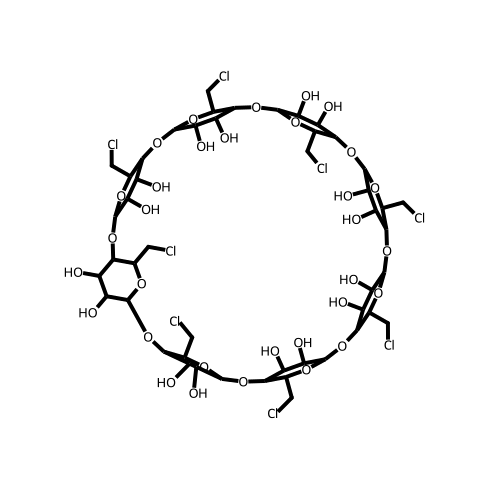 OC1C2OC(CCl)C(OC3OC(CCl)C(OC4OC(CCl)C(OC5OC(CCl)C(OC6OC(CCl)C(OC7OC(CCl)C(OC8OC(CCl)C(OC9OC(CCl)C(O2)C(O)C9O)C(O)C8O)C(O)C7O)C(O)C6O)C(O)C5O)C(O)C4O)C(O)C3O)C1O